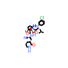 CC(C)C[C@@H](Nc1cccc(Cl)c1)C(=O)N1[C@H]2CC[C@@H]([C@H]1C(=O)N[C@H](C#N)C[C@H]1CCCNC1=O)C(F)(F)C2